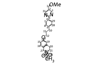 COCc1cnc(-c2ccc(CCCOc3ccc4c(c3)CCN(S(C)(=O)=O)C4)cc2)nc1